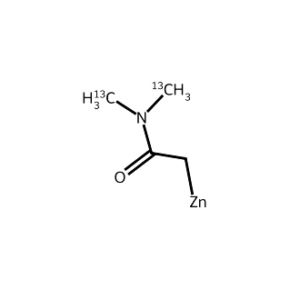 [13CH3]N([13CH3])C(=O)[CH2][Zn]